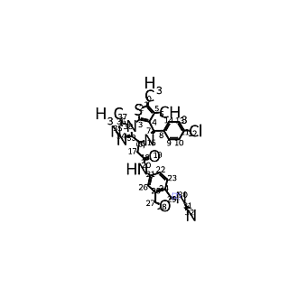 Cc1sc2c(c1C)C(c1ccc(Cl)cc1)=N[C@@H](CC(=O)Nc1ccc3c(c1)CO/C3=N\C#N)c1nnc(C)n1-2